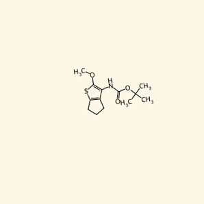 COc1sc2c(c1NC(=O)OC(C)(C)C)CCC2